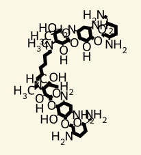 CN(CCCCCCN(C)[C@@H]1[C@@H](O)C(OC2[C@@H](O)C(OC3O[C@H](CN)CC[C@H]3N)[C@@H](N)C[C@H]2N)OC[C@]1(C)O)C1[C@@H](O)C(OC2[C@@H](O)C(OC3O[C@H](CN)CC[C@H]3N)[C@@H](N)C[C@H]2N)OC[C@]1(C)O